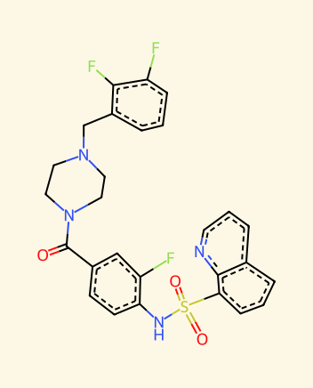 O=C(c1ccc(NS(=O)(=O)c2cccc3cccnc23)c(F)c1)N1CCN(Cc2cccc(F)c2F)CC1